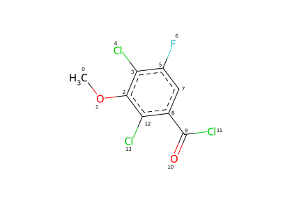 COc1c(Cl)c(F)cc(C(=O)Cl)c1Cl